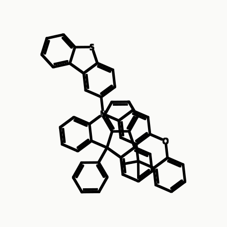 CC1(C)c2ccccc2Oc2ccc(N(c3ccc4sc5ccccc5c4c3)c3ccccc3C3(c4ccccc4)c4ccccc4-c4ccccc43)cc21